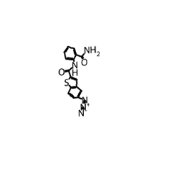 [N-]=[N+]=Nc1ccc2sc(C(=O)Nc3ccccc3C(N)=O)cc2c1